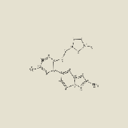 CN1CCC(COc2cnc(C#N)cc2-c2ccn3nc(N)cc3c2)C1